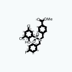 COC(=O)c1ccc(CN(Cc2ccc(F)cc2)S(=O)(=O)c2cc(Cl)cc(Cl)c2O)cc1